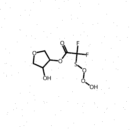 O=C(OC1COCC1O)C(F)(F)SOOO